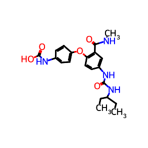 CCC(CC)NC(=O)Nc1ccc(Oc2ccc(NC(=O)O)cc2)c(C(=O)NC)c1